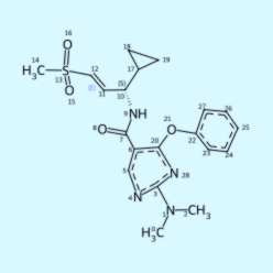 CN(C)c1ncc(C(=O)N[C@H](/C=C/S(C)(=O)=O)C2CC2)c(Oc2ccccc2)n1